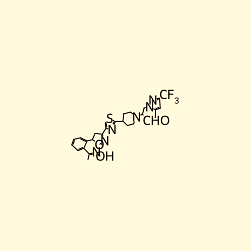 CC(=NO)c1ccccc1C1CC(c2csc(C3CCN(C(C=O)Cn4nc(C(F)(F)F)cc4C)CC3)n2)=NO1